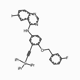 CC(C)[Si](C#Cc1cc(Nc2ncnc3ccc(I)cc23)ccc1OCc1cccc(F)c1)(C(C)C)C(C)C